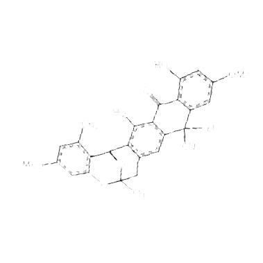 COc1cc(C)c2c(c1)OC1(C)Cc3cc4c(c(O)c3C2O1)C(=O)c1c(O)cc(OC)cc1C4(C)C